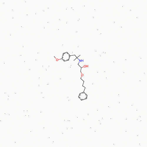 COc1ccc(CC(C)(C)NCC(O)COCCCCc2ccccc2)cc1